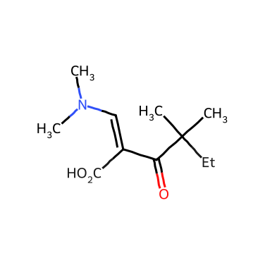 CCC(C)(C)C(=O)C(=CN(C)C)C(=O)O